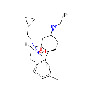 Cc1ccc2c(c1)[C@@]13CC[C@H](NCC(C)C)C[C@@]1(O)[C@@H](C2)N(CC1CC1)CC3